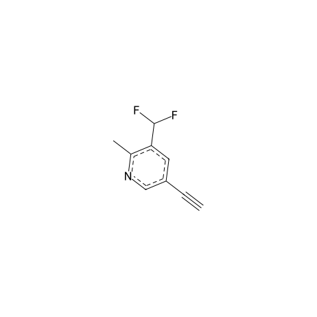 C#Cc1cnc(C)c(C(F)F)c1